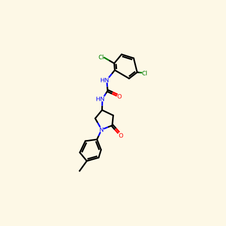 Cc1ccc(N2CC(NC(=O)Nc3cc(Cl)ccc3Cl)CC2=O)cc1